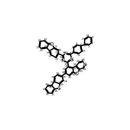 c1ccc(-c2ccc(-c3nc(-c4ccc5c(c4)oc4ccccc45)nc(-c4cc(-c5ccc6c(c5)sc5ccccc56)cc5oc6cnccc6c45)n3)cc2)cc1